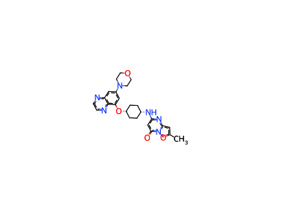 Cc1cc2nc(N[C@H]3CC[C@@H](Oc4cc(N5CCOCC5)cc5nccnc45)CC3)cc(=O)n2o1